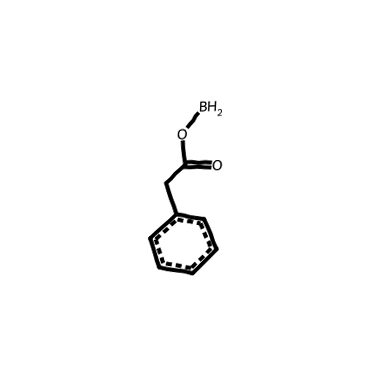 BOC(=O)Cc1ccccc1